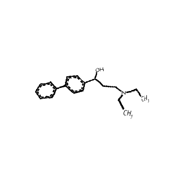 CCN(CC)CCC(O)c1ccc(-c2ccccc2)cc1